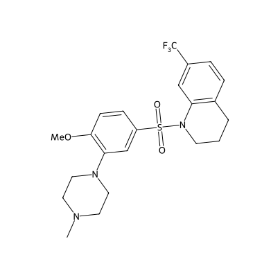 COc1ccc(S(=O)(=O)N2CCCc3ccc(C(F)(F)F)cc32)cc1N1CCN(C)CC1